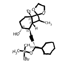 CC[C@]12CC[C@@H](O)[C@H](C#C[C@@H](O[Si](C)(C)C(C)(C)C)C3CCCCC3)[C@H]1C(C)C21OCCO1